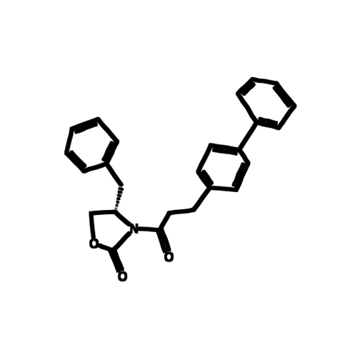 O=C(CCc1ccc(-c2ccccc2)cc1)N1C(=O)OC[C@@H]1Cc1ccccc1